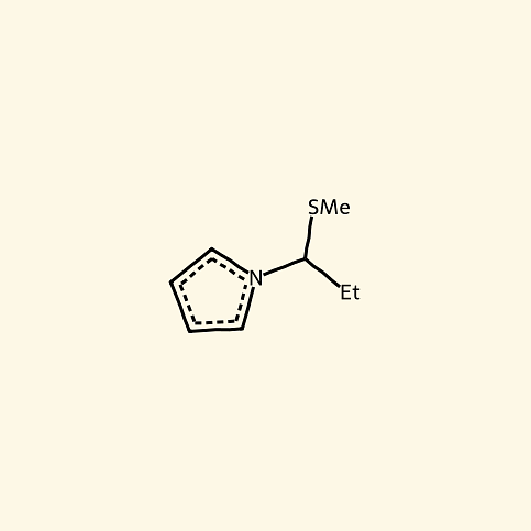 CCC(SC)n1cccc1